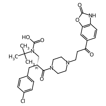 CC(C)(C)N(C[C@@H](Cc1ccc(Cl)cc1)C(=O)N1CCN(CCC(=O)c2ccc3[nH]c(=O)oc3c2)CC1)C(=O)O